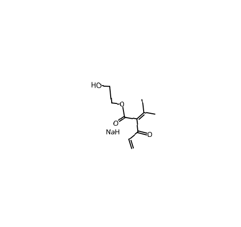 C=CC(=O)C(C(=O)OCCO)=C(C)C.[NaH]